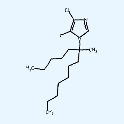 CCCCCCCC(C)(CCCCC)n1cnc(Cl)c1I